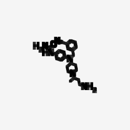 CC(CCN)N1CCC(N(Cc2cccc(C#N)c2)c2ccc(NC(N)=O)cc2)CC1